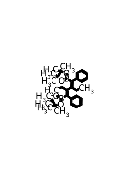 CCC(C(CC)=C(B1OC(C)(C)C(C)(C)O1)c1ccccc1)=C(B1OC(C)(C)C(C)(C)O1)c1ccccc1